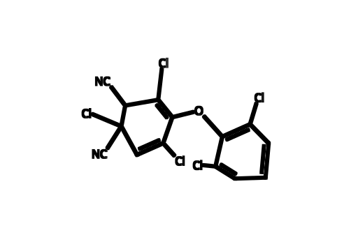 N#CC1C(Cl)=C(Oc2c(Cl)cccc2Cl)C(Cl)=CC1(Cl)C#N